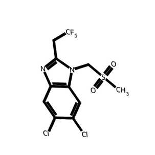 CS(=O)(=O)Cn1c(CC(F)(F)F)nc2cc(Cl)c(Cl)cc21